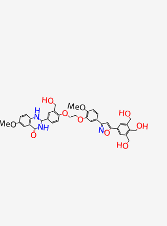 COc1ccc2c(c1)C(=O)NC(c1ccc(OCCOc3cc(-c4cc(-c5cc(CO)c(CO)c(CO)c5)on4)ccc3OC)c(CO)c1)N2